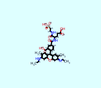 CC/N=c1/cc2oc3cc(NCC)c(C)cc3c(-c3ccc(C(=O)NC(CCC(=O)O)C(=O)NCCS(=O)(=O)O)cc3C(=O)O)c-2cc1C